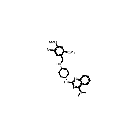 COc1cc(OC)c(CN[C@H]2CC[C@@H](Nc3nc(N(C)C)c4ccccc4n3)CC2)cc1Br